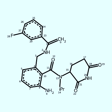 C=C(NCc1cccc(N)c1C(=O)N(C(C)C)C1CCC(=O)NC1=O)c1cccc(F)c1